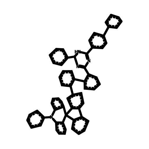 c1ccc(-c2ccc(C3=NC(c4ccccc4-c4ccccc4-c4ccc5c(c4)C4(c6ccccc6-5)c5ccccc5N(c5ccccc5)c5ccccc54)=NC(c4ccccc4)N3)cc2)cc1